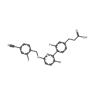 N#Cc1ccc(COc2ccc(F)c(-c3ccc(CCC(=O)O)cc3F)n2)c(F)c1